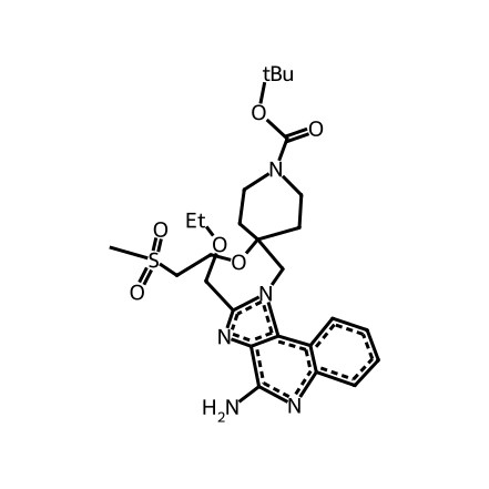 CCOCc1nc2c(N)nc3ccccc3c2n1CC1(OCCS(C)(=O)=O)CCN(C(=O)OC(C)(C)C)CC1